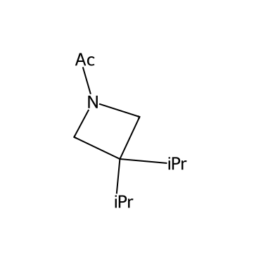 CC(=O)N1CC(C(C)C)(C(C)C)C1